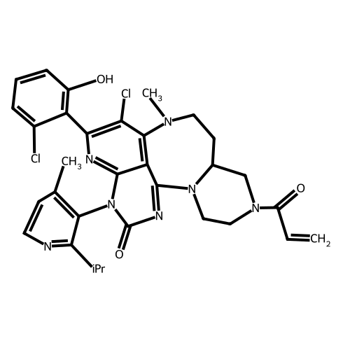 C=CC(=O)N1CCN2c3nc(=O)n(-c4c(C)ccnc4C(C)C)c4nc(-c5c(O)cccc5Cl)c(Cl)c(c34)N(C)CCC2C1